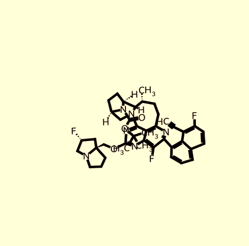 C#Cc1c(F)ccc2cccc(-c3nc4c5c(nc(OC[C@@]67CCCN6C[C@H](F)C7)nc5c3F)N3C[C@H]5CC[C@@H]([C@@H]3[C@H](C)CC4)N5C(=O)OC(C)(C)C)c12